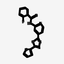 O=C(Nc1cc(-c2nnc(-c3ccco3)o2)ccn1)c1ccccc1F